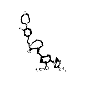 COc1cc(/C=C2\CCCN(Cc3ccc(N4CCOCC4)c(F)c3)C2=O)ccc1-n1cnc(C)c1